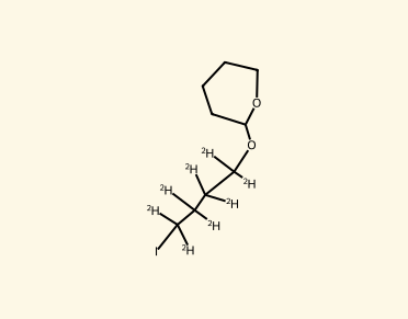 [2H]C([2H])(I)C([2H])([2H])C([2H])([2H])C([2H])([2H])OC1CCCCO1